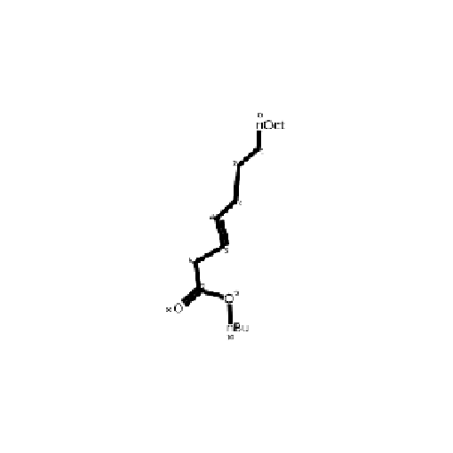 CCCCCCCCCCCC=CCC(=O)OCCCC